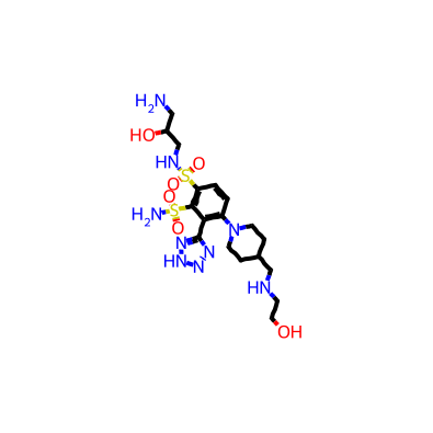 NCC(O)CNS(=O)(=O)c1ccc(N2CCC(CNCCO)CC2)c(-c2nn[nH]n2)c1S(N)(=O)=O